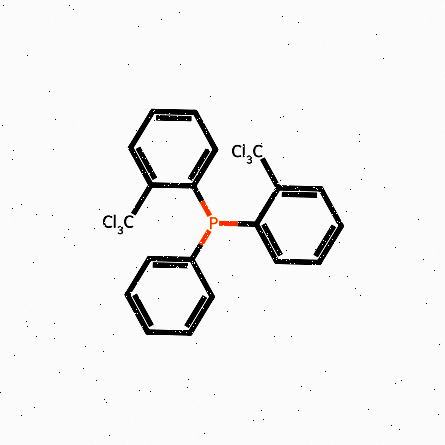 ClC(Cl)(Cl)c1ccccc1P(c1ccccc1)c1ccccc1C(Cl)(Cl)Cl